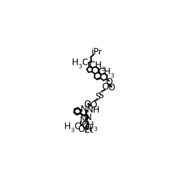 CCOCc1nc2c(NC(=O)OCCSSCCOC(=O)OC3CCC4(C)C(=CCC5C4CCC4(C)C(C(C)CCCC(C)C)CCC54)C3)nc3ccccc3c2n1CC(C)(C)O